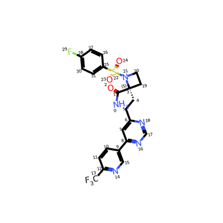 NC(=O)[C@]1(CCc2cc(-c3ccc(C(F)(F)F)nc3)ncn2)CCN1S(=O)(=O)c1ccc(F)cc1